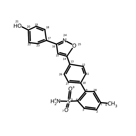 Cc1ccc(S(N)(=O)=O)c(-c2ccc(-c3cc(-c4ccc(O)cc4)no3)cc2)c1